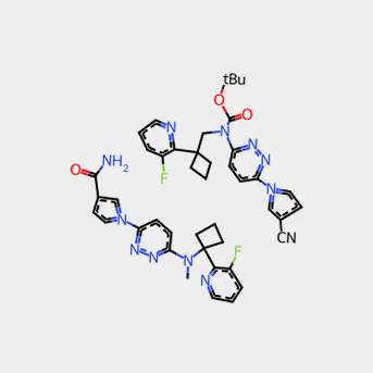 CC(C)(C)OC(=O)N(CC1(c2ncccc2F)CCC1)c1ccc(-n2ccc(C#N)c2)nn1.CN(c1ccc(-n2ccc(C(N)=O)c2)nn1)C1(c2ncccc2F)CCC1